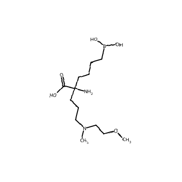 COCCN(C)CCCC(N)(CCCCB(O)O)C(=O)O